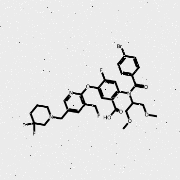 COCC(COC)N(C(=O)c1ccc(Br)cc1)c1cc(F)c(Oc2ncc(CN3CCCC(F)(F)C3)cc2CF)cc1C(=O)O